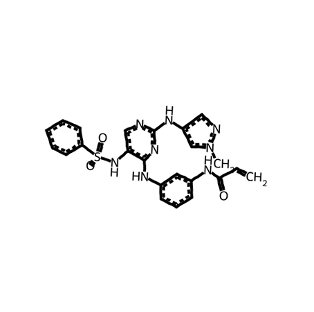 C=CC(=O)Nc1cccc(Nc2nc(Nc3cnn(C)c3)ncc2NS(=O)(=O)c2ccccc2)c1